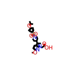 COc1ccc2c(C3CCN(S(=O)(=O)c4ccc(OC(C)C)cc4)CC3)cn(CC(=O)O)c2n1